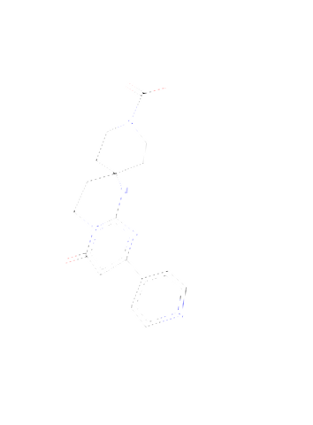 O=C(O)N1CCC2(CC1)CCn1c(nc(-c3ccncc3)cc1=O)N2